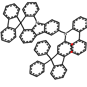 c1ccc(-c2ccccc2N(c2ccc3c(c2)C(c2ccccc2)(c2ccccc2)c2ccccc2-3)c2ccc3c(c2)c2cccc4c2n3-c2ccccc2C42c3ccccc3-c3ccccc32)cc1